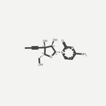 CC#C[C@@]1(O)[C@@H](CO)O[C@@H](n2ccc(N)nc2=O)[C@@H]1O